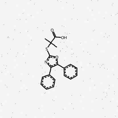 CC(C)(Sc1nc(-c2ccccc2)c(-c2ccccc2)o1)C(=O)O